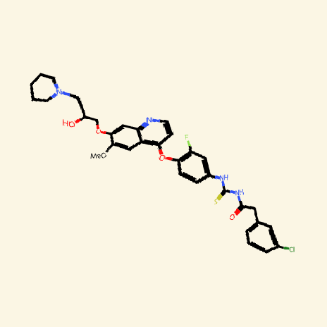 COc1cc2c(Oc3ccc(NC(=S)NC(=O)Cc4cccc(Cl)c4)cc3F)ccnc2cc1OCC(O)CN1CCCCC1